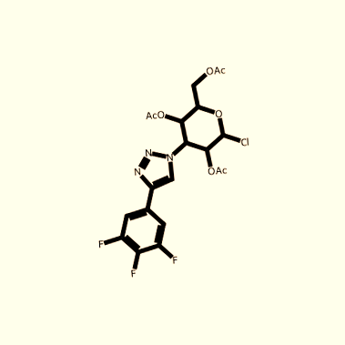 CC(=O)OCC1OC(Cl)C(OC(C)=O)C(n2cc(-c3cc(F)c(F)c(F)c3)nn2)C1OC(C)=O